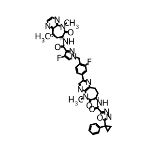 C[C@H]1C[C@@H](NC(=O)c2nn(Cc3ccc(-c4cnc5c(n4)CC[C@H](NC(=O)c4nnc(C6(c7ccccc7)CC6)o4)C(=O)N5C)cc3F)cc2F)C(=O)N(C)c2nccnc21